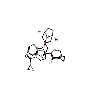 O=C(Cc1nc2ccccc2n1[C@H]1C[C@H]2CC[C@@H](C1)N2CCC1(c2ccccc2)CCN(C(=O)C2CC2)CC1)C1CC1